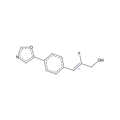 OC/C(F)=C/c1ccc(-c2cnco2)cc1